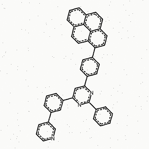 c1ccc(-c2nc(-c3ccc(-c4ccc5ccc6cccc7ccc4c5c67)cc3)cc(-c3cccc(-c4cccnc4)c3)n2)cc1